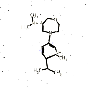 CCC(/C=C\C(=C/N)N1CCOC[C@@H](N(C)C)C1)C(C)C